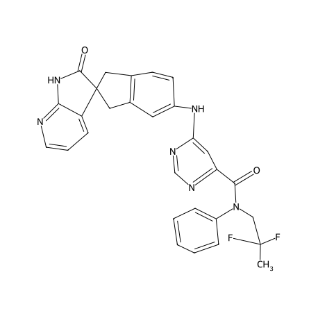 CC(F)(F)CN(C(=O)c1cc(Nc2ccc3c(c2)CC2(C3)C(=O)Nc3ncccc32)ncn1)c1ccccc1